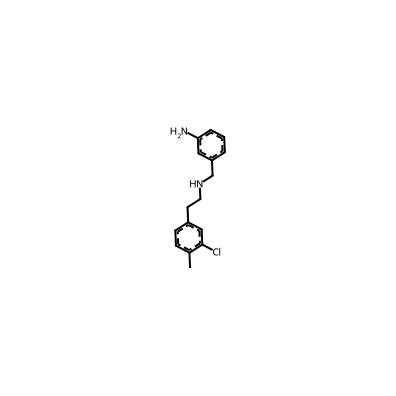 Cc1ccc(CCNCc2cccc(N)c2)cc1Cl